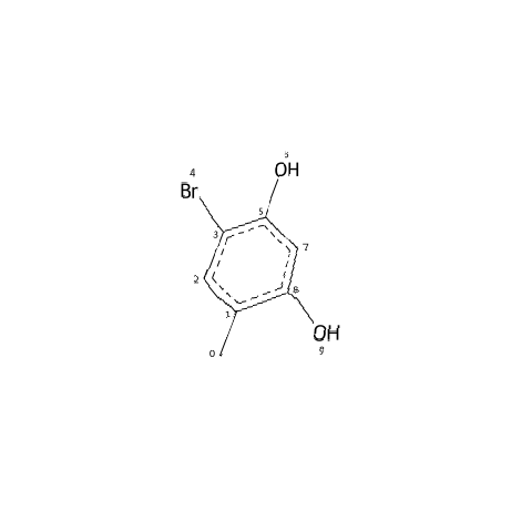 Cc1cc(Br)c(O)cc1O